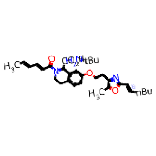 CC(C)(C)N.CC=CC=CC(=O)N1CCc2ccc(OCCc3nc(/C=C/CCCC)oc3C)cc2C1C(=O)O